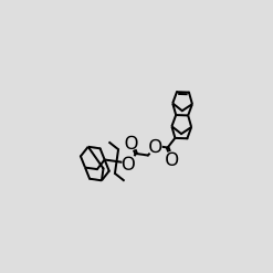 CCC(CC)(OC(=O)COC(=O)C1CC2CC1C1C3C=CC(C3)C21)C12CC3CC(CC(C3)C1)C2